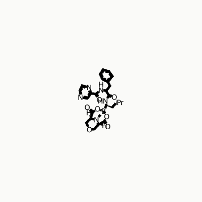 CC(C)C[C@H](NC(=O)C(Cc1ccccc1)NC(=O)c1cnccn1)B1OC(=O)[C@@H]2COC[C@@H](C(=O)O1)N2C